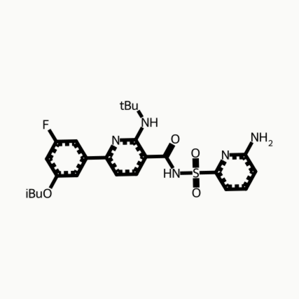 CC(C)COc1cc(F)cc(-c2ccc(C(=O)NS(=O)(=O)c3cccc(N)n3)c(NC(C)(C)C)n2)c1